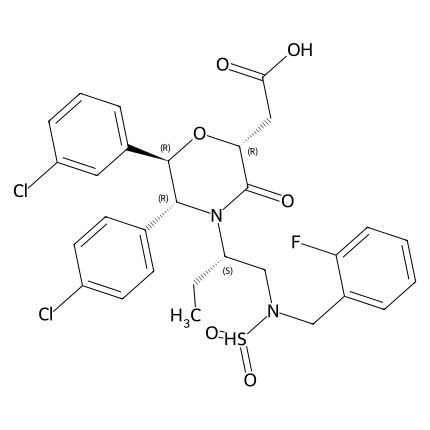 CC[C@@H](CN(Cc1ccccc1F)[SH](=O)=O)N1C(=O)[C@@H](CC(=O)O)O[C@H](c2cccc(Cl)c2)[C@H]1c1ccc(Cl)cc1